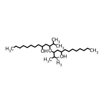 CCCCCCCCC(O)CC(OC(CC(O)CCCCCCCC)C(C)C)C(C)C